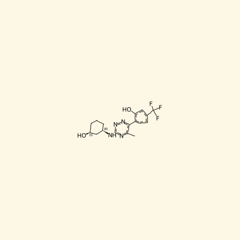 Cc1nc(N[C@@H]2CCC[C@H](O)C2)nnc1-c1ccc(C(F)(F)F)cc1O